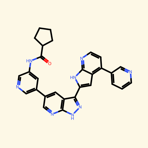 O=C(Nc1cncc(-c2cnc3[nH]nc(-c4cc5c(-c6cccnc6)ccnc5[nH]4)c3c2)c1)C1CCCC1